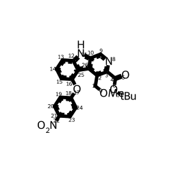 COCc1c(C(=O)OC(C)(C)C)ncc2[nH]c3cccc(Oc4ccc([N+](=O)[O-])cc4)c3c12